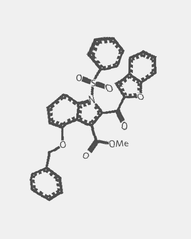 COC(=O)c1c(C(=O)c2cc3ccccc3o2)n(S(=O)(=O)c2ccccc2)c2cccc(OCc3ccccc3)c12